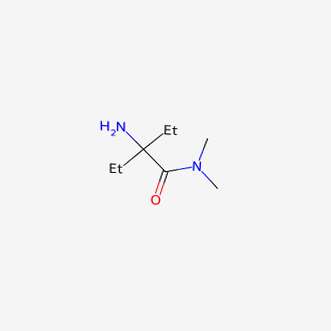 CCC(N)(CC)C(=O)N(C)C